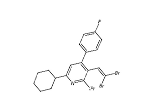 CC(C)c1nc(C2CCCCC2)cc(-c2ccc(F)cc2)c1C=C(Br)Br